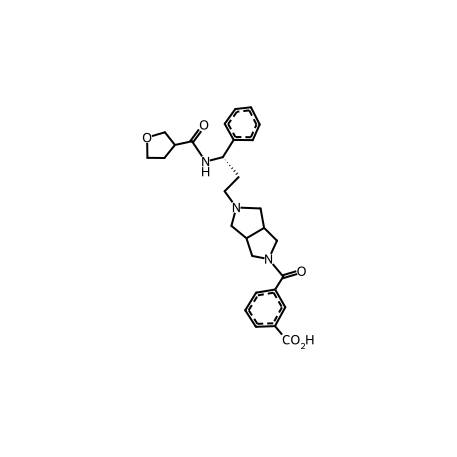 O=C(O)c1cccc(C(=O)N2CC3CN(CC[C@H](NC(=O)C4CCOC4)c4ccccc4)CC3C2)c1